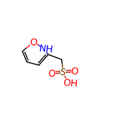 O=S(=O)(O)CC1=CC=CON1